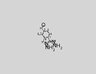 Cc1c(C=O)ccc2c1CN(N)/C2=N\N